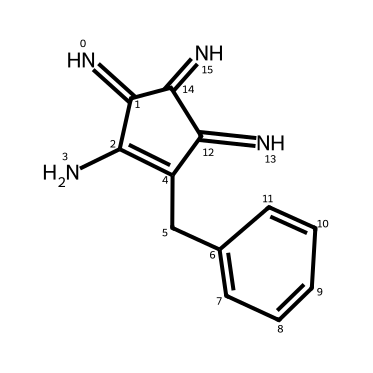 N=c1c(N)c(Cc2ccccc2)c(=N)c1=N